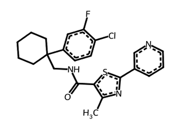 Cc1nc(-c2cccnc2)sc1C(=O)NCC1(c2ccc(Cl)c(F)c2)CCCCC1